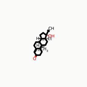 C#C[C@]1(O)CC[C@H]2[C@@H]3CCC4=CC(=O)CC[C@]4(C)[C@H]3CC[C@@]21CC